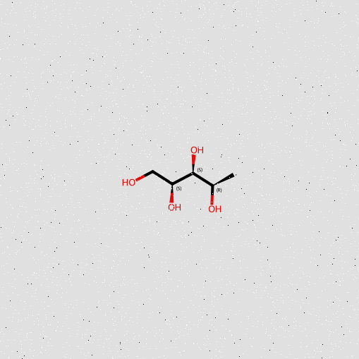 [CH2][C@@H](O)[C@H](O)[C@@H](O)CO